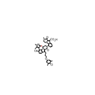 Cc1cc(OCCCc2c3n(c4c(-c5c(C)nn(C)c5C)c(Cl)ccc24)[C@H](C)CN(c2cccc4c(C(=O)O)c5n(c24)CCN(C)C5=O)C3=O)cc(C)c1Cl